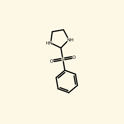 O=S(=O)(c1cc[c]cc1)C1NCCN1